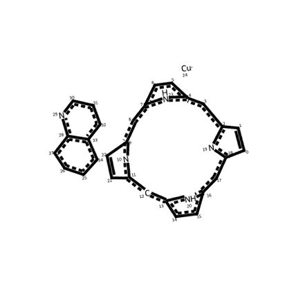 C1=Cc2cc3ccc(cc4nc(cc5ccc(cc1n2)[nH]5)C=C4)[nH]3.[Cu].c1ccc2ncccc2c1